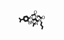 CCCCN1C(=O)CN2C(=O)CN(c3ccc(C(C)C)cc3Br)c3nc(C)nc1c32